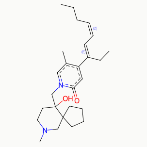 CCC/C=C\C=C(/CC)c1cc(=O)n(CC2(O)CCN(C)CC23CCCC3)cc1C